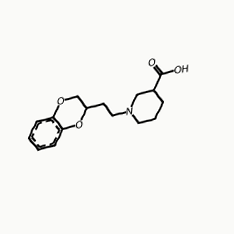 O=C(O)C1CCCN(CCC2COc3ccccc3O2)C1